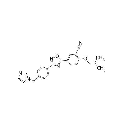 CC(C)COc1ccc(-c2nc(-c3ccc(Cn4ccnc4)cc3)no2)cc1C#N